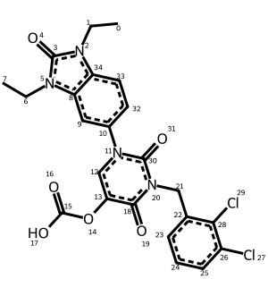 CCn1c(=O)n(CC)c2cc(-n3cc(OC(=O)O)c(=O)n(Cc4cccc(Cl)c4Cl)c3=O)ccc21